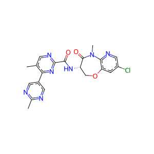 Cc1ncc(-c2nc(C(=O)N[C@H]3COc4cc(Cl)cnc4N(C)C3=O)ncc2C)cn1